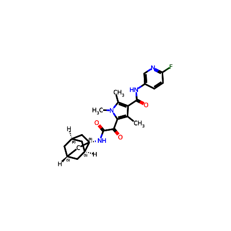 Cc1c(C(=O)Nc2ccc(F)nc2)c(C)n(C)c1C(=O)C(=O)N[C@]12C[C@@H]3C[C@@H](C[C@H]1C3)C2